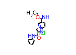 CCOC(=N)c1ccc2nc(C(=O)Nc3ccccc3)cn2c1.Cl